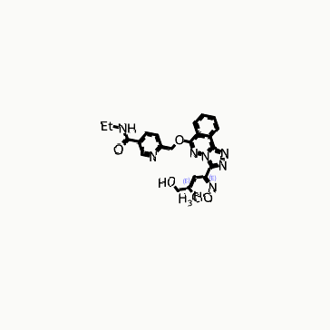 CCNC(=O)c1ccc(COc2nn3c(C(/C=C(\C)CO)=N/O)nnc3c3ccccc23)nc1